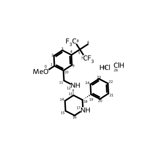 COc1ccc(C(C)(C(F)(F)F)C(F)(F)F)cc1CN[C@H]1CCCN[C@H]1c1ccccc1.Cl.Cl